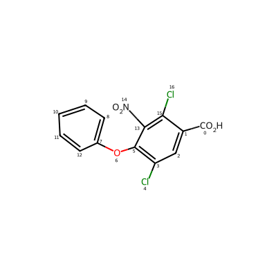 O=C(O)c1cc(Cl)c(Oc2ccccc2)c([N+](=O)[O-])c1Cl